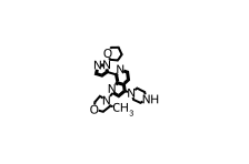 CC1COCCN1c1cc(N2CCNCC2)c2ccnc(-c3ccnn3C3CCCCO3)c2n1